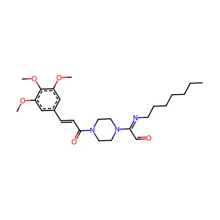 CCCCCCCN=C(C=O)N1CCN(C(=O)/C=C/c2cc(OC)c(OC)c(OC)c2)CC1